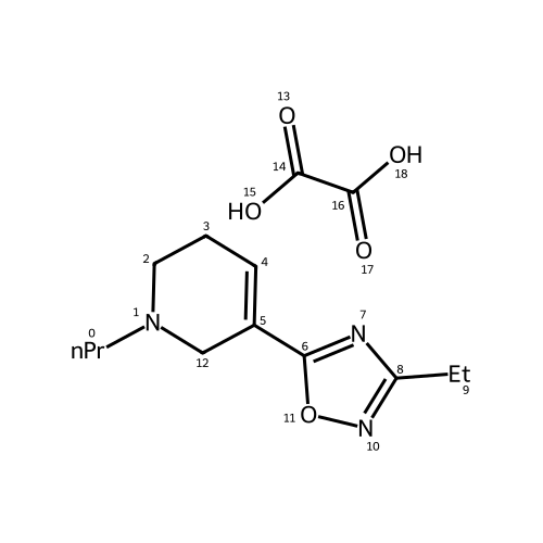 CCCN1CCC=C(c2nc(CC)no2)C1.O=C(O)C(=O)O